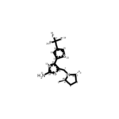 C[C@@H]1CC[C@@H](C)N1Cc1sc(N)nc1-c1cc(C(F)(F)F)cs1